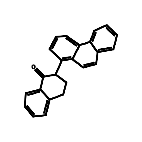 O=C1c2ccccc2CCC1c1cccc2c1ccc1ccccc12